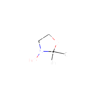 CCC1(C(C)C)OCCN1O